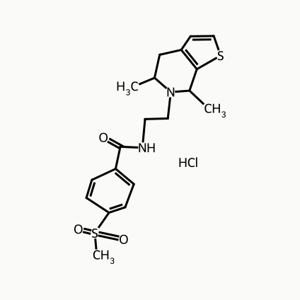 CC1Cc2ccsc2C(C)N1CCNC(=O)c1ccc(S(C)(=O)=O)cc1.Cl